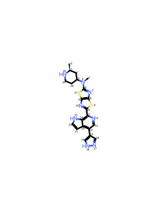 C[C@H]1CC(N(C)c2nc3sc(-c4ncc(-c5cn[nH]c5)c5cc[nH]c45)nc3s2)CCN1